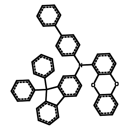 c1ccc(-c2ccc(N(c3ccc4c(c3)C(c3ccccc3)(c3ccccc3)c3ccccc3-4)c3cccc4c3Oc3ccccc3O4)cc2)cc1